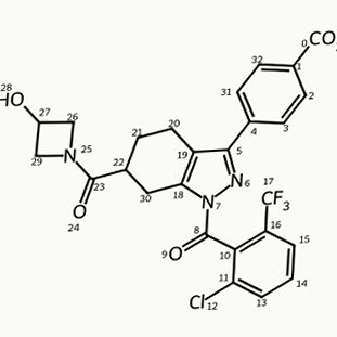 O=C(O)c1ccc(-c2nn(C(=O)c3c(Cl)cccc3C(F)(F)F)c3c2CCC(C(=O)N2CC(O)C2)C3)cc1